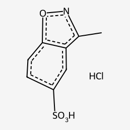 Cc1noc2ccc(S(=O)(=O)O)cc12.Cl